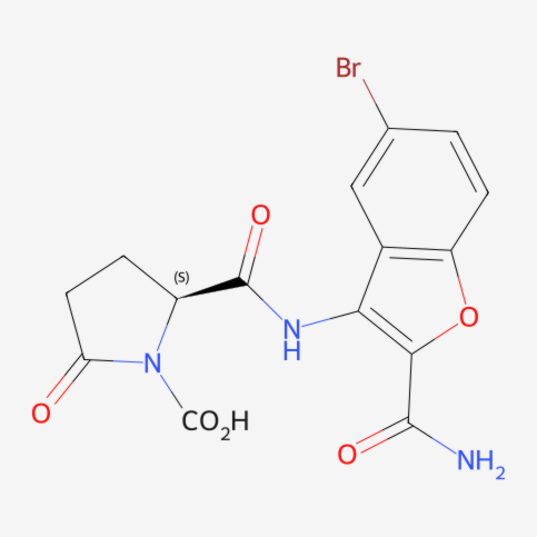 NC(=O)c1oc2ccc(Br)cc2c1NC(=O)[C@@H]1CCC(=O)N1C(=O)O